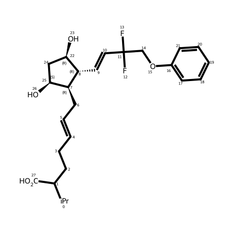 CC(C)C(CCC=CC[C@@H]1[C@@H](C=CC(F)(F)COc2ccccc2)[C@H](O)C[C@@H]1O)C(=O)O